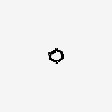 [C]1N=NC=CS1